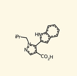 CC(C)Cn1ncc(C(=O)O)c1-c1cc2ccccc2[nH]1